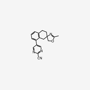 CC1=NC2(CCc3cccc(-c4cnc(C#N)nc4)c3C2)CO1